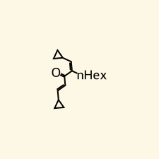 CCCCCCC(=CC1CC1)C(=O)C=CC1CC1